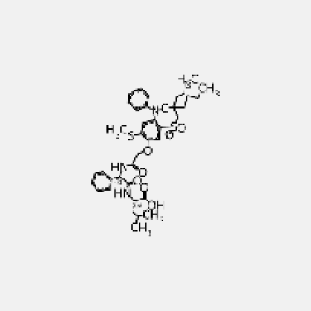 CCCCC1(CCCC)CN(c2ccccc2)c2cc(SC)c(OCC(=O)N[C@@H](C(=O)N[C@@H](CC(C)C)C(=O)O)c3ccccc3)cc2S(=O)(=O)C1